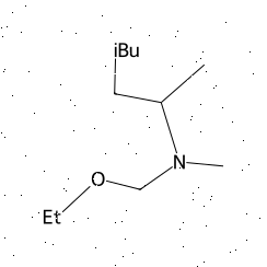 CCOCN(C)C(C)CC(C)CC